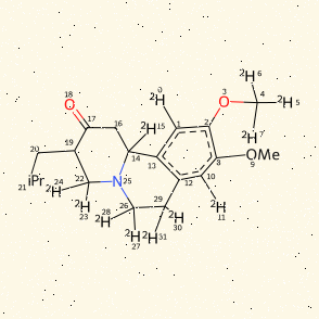 [2H]c1c(OC([2H])([2H])[2H])c(OC)c([2H])c2c1C1([2H])CC(=O)C(CC(C)C)C([2H])([2H])N1C([2H])([2H])C2([2H])[2H]